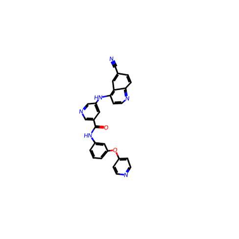 N#Cc1ccc2nccc(Nc3cncc(C(=O)Nc4cccc(Oc5ccncc5)c4)c3)c2c1